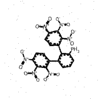 O=[N+]([O-])c1ccc(-c2cccc(P)c2-c2ccc([N+](=O)[O-])c([N+](=O)[O-])c2[N+](=O)[O-])c([N+](=O)[O-])c1[N+](=O)[O-]